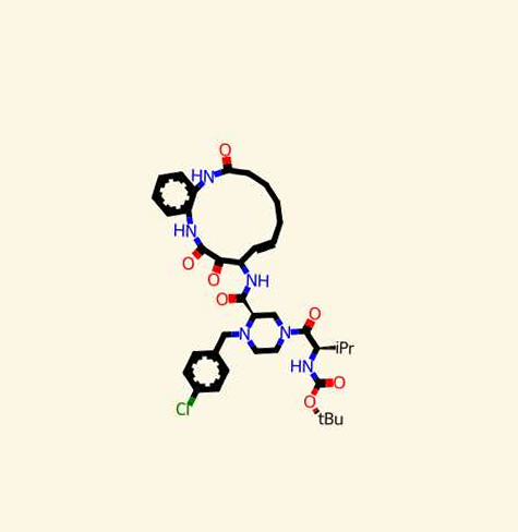 CC(C)[C@@H](NC(=O)OC(C)(C)C)C(=O)N1CCN(Cc2ccc(Cl)cc2)[C@@H](C(=O)NC2/C=C/CCCCC(=O)Nc3ccccc3NC(=O)C2=O)C1